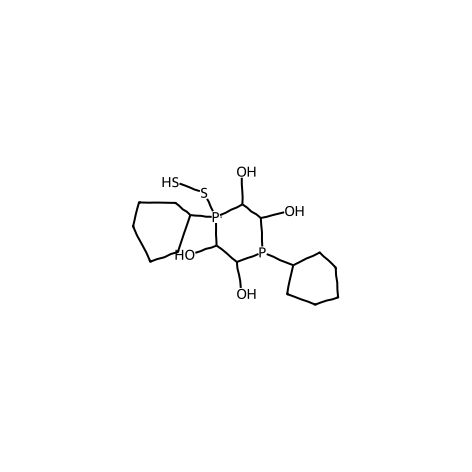 OC1C(O)[P](SS)(C2CCCCC2)C(O)C(O)P1C1CCCCC1